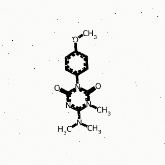 COc1ccc(-n2c(=O)nc(N(C)C)n(C)c2=O)cc1